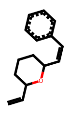 C=CC1CCCC(/C=C\c2ccccc2)O1